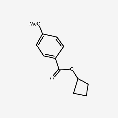 COc1ccc(C(=O)OC2CCC2)cc1